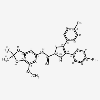 COc1cc(NC(=O)N2CC(c3ccc(F)cc3)=C(c3ccc(F)cc3)N2)cc2c1OC(C)(C)O2